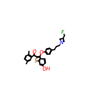 Cc1ccc(C)c(C(=O)c2sc3cc(O)ccc3c2Oc2ccc(CCCN3CC(CF)C3)cc2)c1